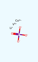 O=P([O-])([O-])[O-].[Co+2].[Li+].[V+5]